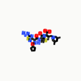 Cc1cc(C)c[n+](CC2=C(C(=O)[O-])N3C(=O)C(NC(=O)C(=NOC4C=CCC4)c4nsc(N)n4)[C@@H]3SC2)c1